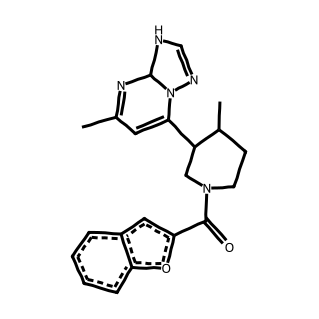 CC1=NC2NC=NN2C(C2CN(C(=O)c3cc4ccccc4o3)CCC2C)=C1